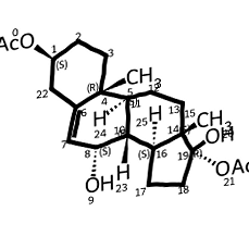 CC(=O)O[C@H]1CC[C@@]2(C)C(=C[C@@H](O)[C@@H]3[C@@H]2CC[C@@]2(C)[C@H]3CC[C@@]2(O)OC(C)=O)C1